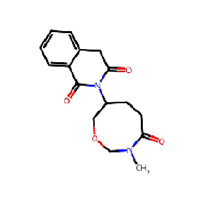 CN1COCC(N2C(=O)Cc3ccccc3C2=O)CCC1=O